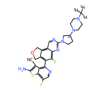 [2H]C([2H])([2H])N1CCN([C@H]2CCN(c3ncc4c5c(c(-c6ncc(F)c7sc(N)c(C#N)c67)c(F)c4n3)COC5)C2)CC1